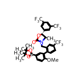 COc1ccc(B2OC(C)(C)C(C)(C)O2)cc1-c1ccc(C(F)(F)F)cc1CN1C(=O)O[C@H](c2cc(C(F)(F)F)cc(C(F)(F)F)c2)[C@@H]1C